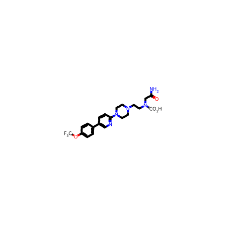 NC(=O)CN(CCN1CCN(c2ccc(-c3ccc(OC(F)(F)F)cc3)cn2)CC1)C(=O)O